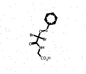 O=C(O)CNC(=O)C(Br)(Br)OSc1ccccc1